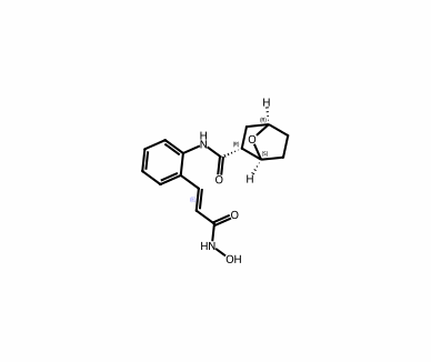 O=C(/C=C/c1ccccc1NC(=O)[C@@H]1C[C@H]2CC[C@@H]1O2)NO